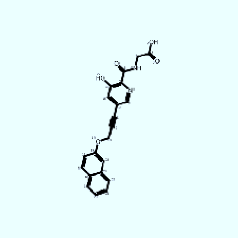 O=C(O)CNC(=O)c1ncc(C#CCOc2ccc3ccccc3c2)cc1O